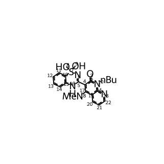 CCCCn1c(=O)c(C2=NS(O)(O)c3ccccc3N2)c(NC)c2cccnc21